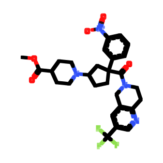 COC(=O)C1CCN(C2CCC(C(=O)N3CCc4ncc(C(F)(F)F)cc4C3)(c3cccc([N+](=O)[O-])c3)C2)CC1